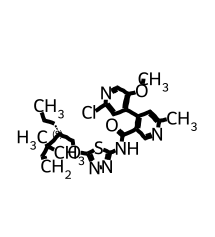 C=CC(C)(C)[C@H](CCC)COc1nnc(NC(=O)c2cnc(C)cc2-c2cc(Cl)ncc2OC)s1